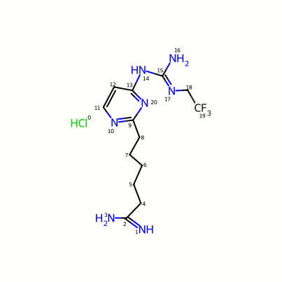 Cl.N=C(N)CCCCCc1nccc(NC(N)=NCC(F)(F)F)n1